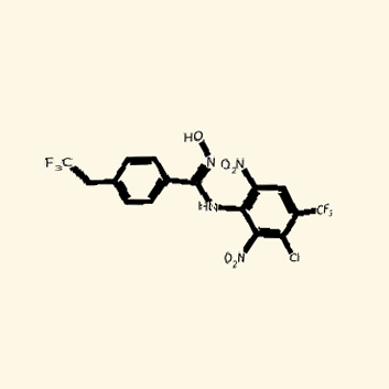 O=[N+]([O-])c1cc(C(F)(F)F)c(Cl)c([N+](=O)[O-])c1NC(=NO)c1ccc(CC(F)(F)F)cc1